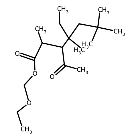 CCOCOC(=O)C(C)C(C(C)=O)C(C)(CC)CC(C)(C)C